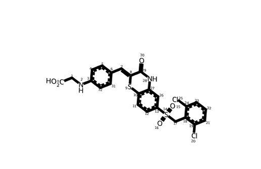 O=C(O)CNc1ccc(/C=C2\Sc3ccc(S(=O)(=O)Cc4c(Cl)cccc4Cl)cc3NC2=O)cc1